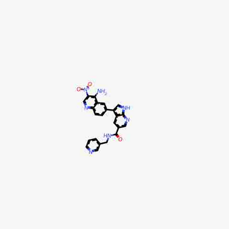 Nc1c([N+](=O)[O-])cnc2ccc(-c3c[nH]c4ncc(C(=O)NCc5cccnc5)cc34)cc12